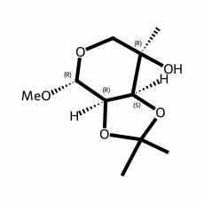 CO[C@@H]1OC[C@@](C)(O)[C@H]2OC(C)(C)O[C@@H]12